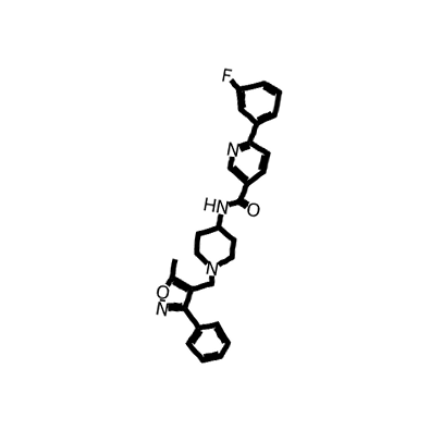 Cc1onc(-c2ccccc2)c1CN1CCC(NC(=O)c2ccc(-c3cccc(F)c3)nc2)CC1